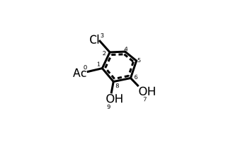 CC(=O)c1c(Cl)ccc(O)c1O